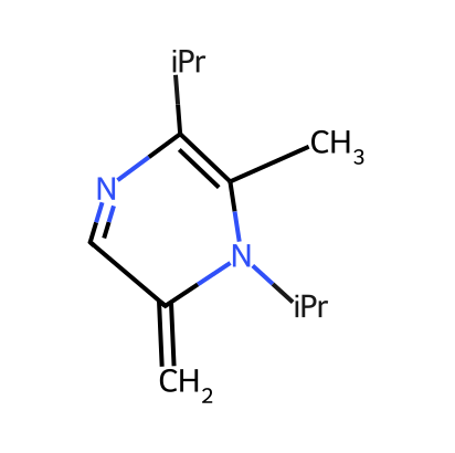 C=C1C=NC(C(C)C)=C(C)N1C(C)C